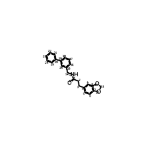 O=C(CCc1ccc2c(c1)OCO2)NCc1cccc(-c2ccccc2)c1